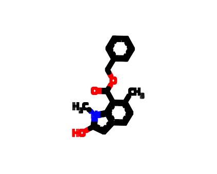 Cc1ccc2cc(O)n(C)c2c1C(=O)OCc1ccccc1